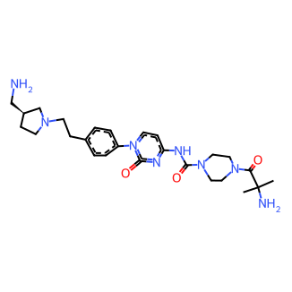 CC(C)(N)C(=O)N1CCN(C(=O)Nc2ccn(-c3ccc(CCN4CC[C@@H](CN)C4)cc3)c(=O)n2)CC1